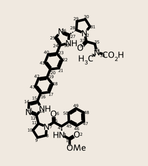 COC(=O)N[C@H](C(=O)N1CCCC1c1ncc(-c2ccc(-c3ccc(-c4cnc([C@@H]5CCCN5C(=O)CN(C)C(=O)O)[nH]4)cc3)cc2)[nH]1)c1ccccc1